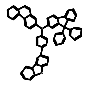 c1ccc(C2(c3ccccc3)c3ccccc3-c3ccc(N(c4ccc(-c5ccc6sc7ccccc7c6c5)cc4)c4ccc5c(ccc6ccccc65)c4)cc32)cc1